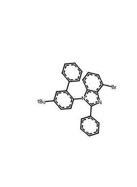 CC(C)(C)c1ccc(-n2c(-c3ccccc3)nc3c(Br)cccc32)c(-c2ccccc2)c1